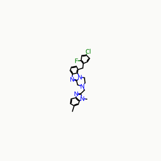 Cc1ccc2nc(CN3CCn4c(nc5cccc(Cc6ccc(Cl)cc6F)c54)C3)n(C)c2c1